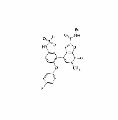 CCNC(=O)c1cc2c(-c3cc(NS(=O)(=O)CC)ccc3Oc3ccc(F)cc3)cn(C)c(=O)c2o1